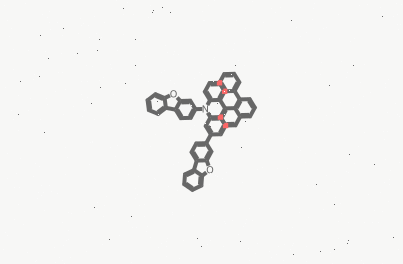 c1ccc(-c2cccc3cccc(-c4ccccc4N(c4cccc(-c5ccc6c(c5)oc5ccccc56)c4)c4ccc5c(c4)oc4ccccc45)c23)cc1